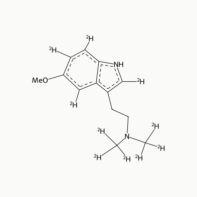 [2H]c1[nH]c2c([2H])c([2H])c(OC)c([2H])c2c1CCN(C([2H])([2H])[2H])C([2H])([2H])[2H]